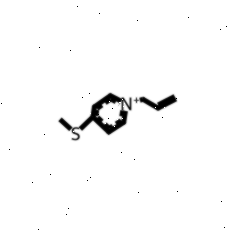 C=CC[n+]1ccc(SC)cc1